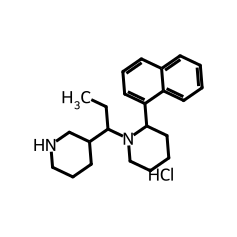 CCC(C1CCCNC1)N1CCCCC1c1cccc2ccccc12.Cl